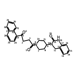 O=C(CCC(=O)N1CCC(N2Cc3ccccc3NC2=O)CC1)c1cccc2ccccc12